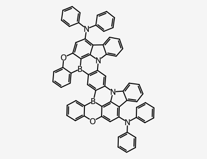 c1ccc(N(c2ccccc2)c2cc3c4c5c2c2ccccc2n5-c2cc5c(cc2B4c2ccccc2O3)B2c3ccccc3Oc3cc(N(c4ccccc4)c4ccccc4)c4c6ccccc6n-5c4c32)cc1